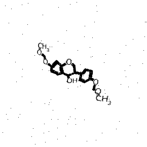 COCOc1ccc(C2COc3cc(OCOC)ccc3C2O)cc1